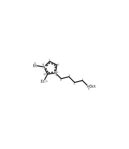 CCCCCCCCCCCC[n+]1ccn(CC)c1CC